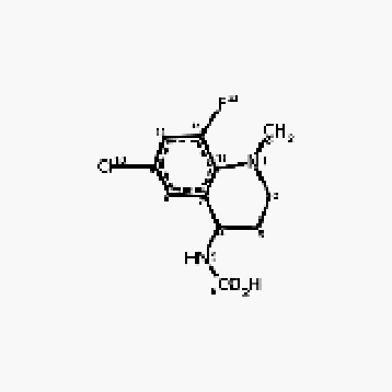 CN1CCC(NC(=O)O)c2cc(Cl)cc(F)c21